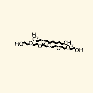 CCCCCCCOCCC.OCCOCCOCCOCCOCCOCCO